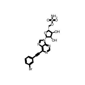 NS(=O)(=O)OC[C@H]1O[C@@H](n2cnc3c(C#Cc4cccc(Br)c4)ncnc32)[C@H](O)[C@@H]1O